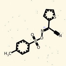 Cc1ccc(S(=O)(=O)O/N=C(\C#N)c2cccs2)cc1